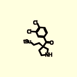 CC(C)(C)CC[C@]1(C(=O)c2ccc(Cl)c(Cl)c2)CCNC1